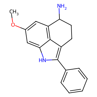 COc1cc2c3c(c(-c4ccccc4)[nH]c3c1)CCC2N